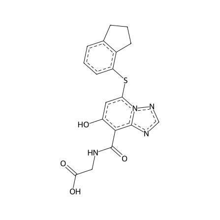 O=C(O)CNC(=O)c1c(O)cc(Sc2cccc3c2CCC3)n2ncnc12